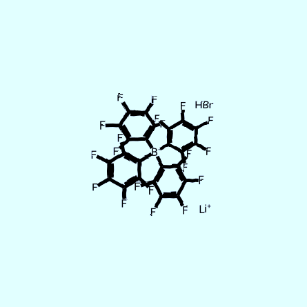 Br.Fc1c(F)c(F)c([B-](c2c(F)c(F)c(F)c(F)c2F)(c2c(F)c(F)c(F)c(F)c2F)c2c(F)c(F)c(F)c(F)c2F)c(F)c1F.[Li+]